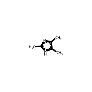 [CH2]c1nc(C)[nH]c1C